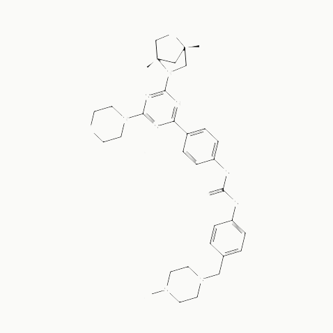 C[C@@H]1COCCN1c1nc(-c2ccc(NC(=O)Nc3ccc(CN4CCN(C)CC4)cc3)cc2)nc(N2C[C@@H]3C[C@H]2CO3)n1